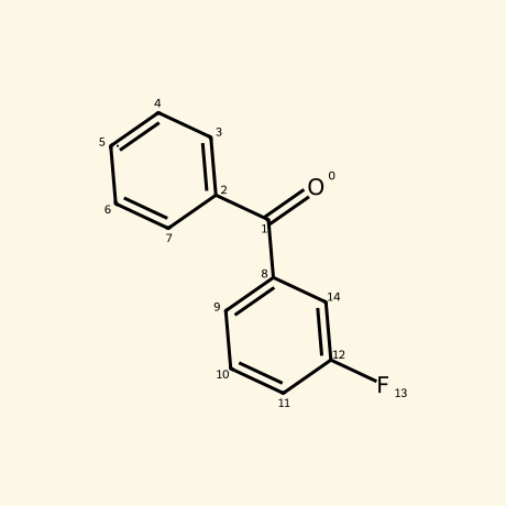 O=C(c1cc[c]cc1)c1cccc(F)c1